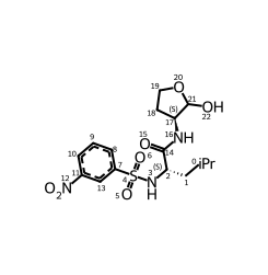 CC(C)C[C@H](NS(=O)(=O)c1cccc([N+](=O)[O-])c1)C(=O)N[C@H]1CCOC1O